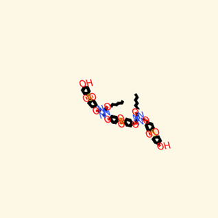 CCCCCCOc1nc(Oc2ccc(S(=O)(=O)c3ccc(O)cc3)cc2)nc(Oc2ccc(S(=O)(=O)c3ccc(Oc4nc(OCCCCCC)nc(Oc5ccc(S(=O)(=O)c6ccc(O)cc6)cc5)n4)cc3)cc2)n1